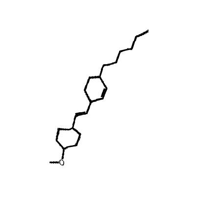 CCCCCCC1C=CC(/C=C/C2CCC(OC)CC2)CC1